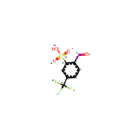 O=Ic1ccc(C(F)(F)F)cc1S(=O)(=O)O